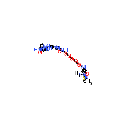 Cc1cnc(NC(=O)c2ccc(NCCOCCOCCOCCOCCOCCNC(=O)CN3CCN(c4ccc(Nc5ncc6cc7n(c6n5)C5(CCCCC5)CNC7=O)nc4)CC3)cc2C)s1